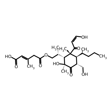 CCC[C@@H](C)[C@H]1[C@H](CO)C(=O)[C@@](C)(O)[C@H]([C@@H](C)COC(=O)C/C(C)=C/C(=O)O)[C@]1(C)C(=O)/C=C\O